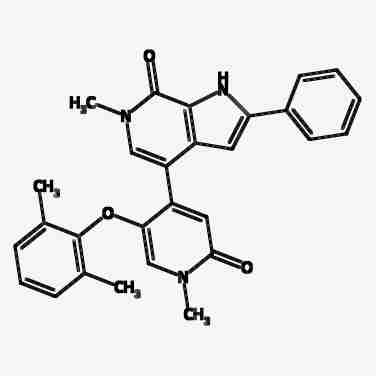 Cc1cccc(C)c1Oc1cn(C)c(=O)cc1-c1cn(C)c(=O)c2[nH]c(-c3ccccc3)cc12